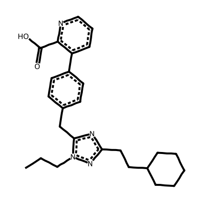 CCCn1nc(CCC2CCCCC2)nc1Cc1ccc(-c2cccnc2C(=O)O)cc1